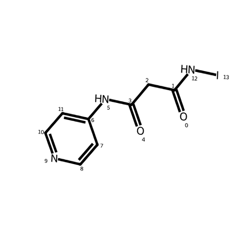 O=C(CC(=O)Nc1ccncc1)NI